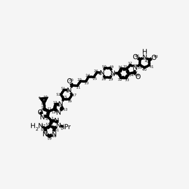 CC(C)n1nc(-c2noc(C3CC3)c2-c2cn(C3CCN(C(=O)CCCCCCN4CCN(c5ccc6c(c5)CN(C5CCC(=O)NC5=O)C6=O)CC4)CC3)cn2)c2c(N)ncnc21